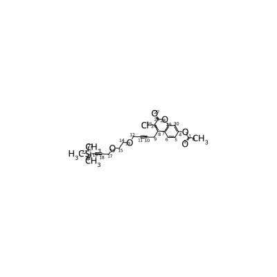 CC(=O)Oc1ccc2c(CC#CCOCCOCC#C[Si](C)(C)C)c(Cl)c(=O)oc2c1